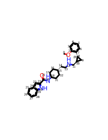 COc1ccccc1[C@@H]1C[C@H]1CNCC[C@H]1CC[C@H](NC(=O)c2cc3ccccc3[nH]2)CC1